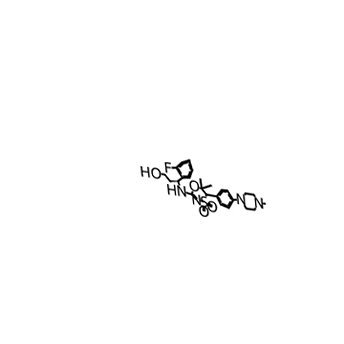 CN1CCN(c2ccc(C3C(C)(C)OC(N[C@@H](CCO)c4ccccc4F)=NS3(=O)=O)cc2)CC1